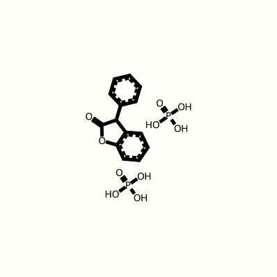 O=C1Oc2ccccc2C1c1ccccc1.O=P(O)(O)O.O=P(O)(O)O